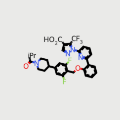 CC(C)C(=O)N1CCC(c2cc(F)c(COc3ccccc3-c3cccc(-n4ncc(C(=O)O)c4C(F)(F)F)n3)c(F)c2)CC1